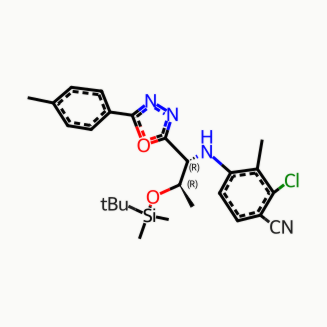 Cc1ccc(-c2nnc([C@H](Nc3ccc(C#N)c(Cl)c3C)[C@@H](C)O[Si](C)(C)C(C)(C)C)o2)cc1